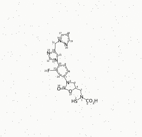 O=C(O)N(S)CC1CN(c2ccc(-n3cnc(Cn4cccn4)c3)c(F)c2)C(=O)O1